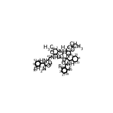 CCCC(NC(=O)[C@@H]1C[C@@H](OC(C)(C)C)CN1C(=O)[C@@H](NC(=O)c1c(F)cccc1F)C1CCCCC1)C(=O)C(=O)NCC(=O)NC(C(N)=O)c1cccc(F)c1